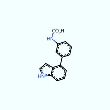 O=C(O)Nc1cccc(-c2cccc3[nH]ccc23)c1